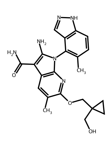 Cc1cc2c(C(N)=O)c(N)n(-c3c(C)ccc4[nH]ncc34)c2nc1OCC1(CO)CC1